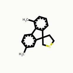 Cc1ccc2c(c1)C1(CCSC1)c1cccc(C)c1-2